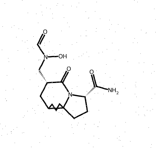 NC(=O)[C@@H]1CCC23CCCC2C[C@H](CN(O)C=O)C(=O)N13